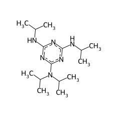 CC(C)Nc1nc(NC(C)C)nc(N(C(C)C)C(C)C)n1